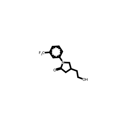 O=C1CC(CCO)CN1c1cccc(C(F)(F)F)c1